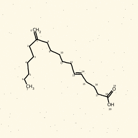 C=C(CCCCCC)CCCCCC=CCCCC(=O)O